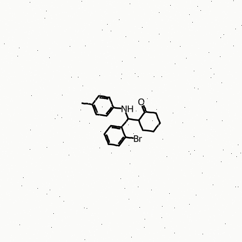 Cc1ccc(NC(c2ccccc2Br)C2CCCCC2=O)cc1